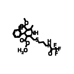 COC(=O)C1=C(C)NC(CSCCCNC(=O)C(F)(F)F)=C(C(=O)OC)C1c1ccccc1Cl.O